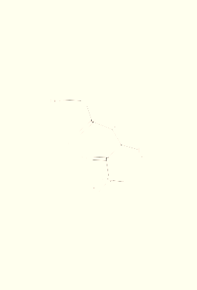 CCCCOC(=O)CC(CC)C(=O)N(CC)CC